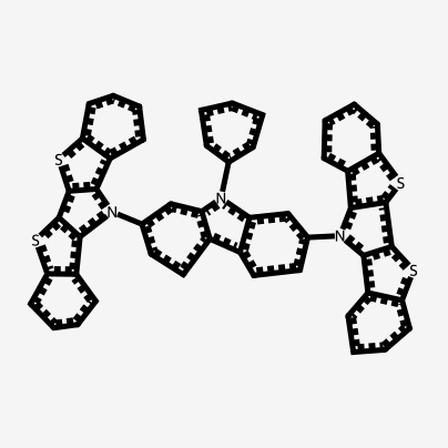 c1ccc(-n2c3cc(-n4c5c6ccccc6sc5c5sc6ccccc6c54)ccc3c3ccc(-n4c5c6ccccc6sc5c5sc6ccccc6c54)cc32)cc1